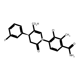 Cc1c(C(N)=O)ccc(N2C=C(C(=O)O)[C@H](c3cccc(F)c3)CC2=O)c1Cl